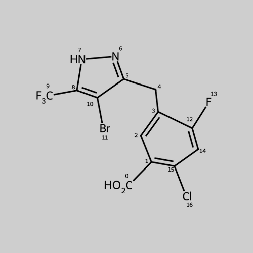 O=C(O)c1cc(Cc2n[nH]c(C(F)(F)F)c2Br)c(F)cc1Cl